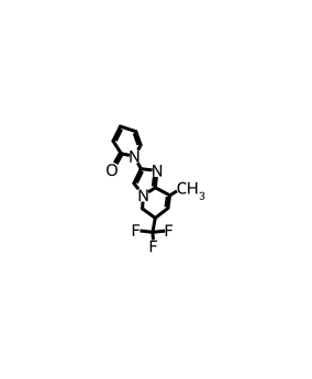 CC1=CC(C(F)(F)F)Cn2cc(-n3ccccc3=O)nc21